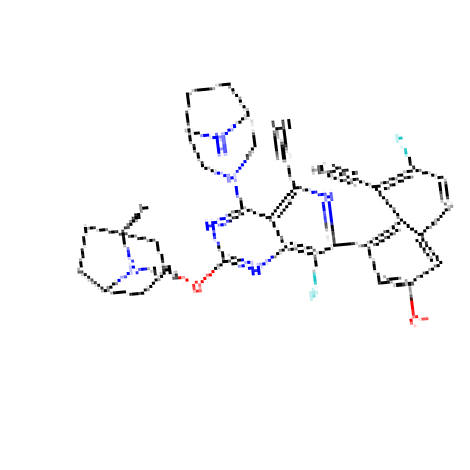 C#Cc1c(F)ccc2cc(O)cc(-c3nc(C#C)c4c(N5CC6CCC(C5)N6)nc(O[C@@H]5CC6CC[C@H](C5)N6C)nc4c3F)c12